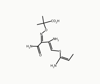 C/C=C(/N)S/C=C(N)/C(=N\OC(C)(C)C(=O)O)C(N)=O